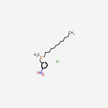 CCCCCCCCCCCC[S+](C)Cc1cccc([N+](=O)[O-])c1.[Cl-]